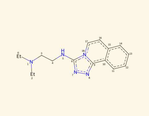 CCN(CC)CCNc1nnc2c3ccccc3ccn12